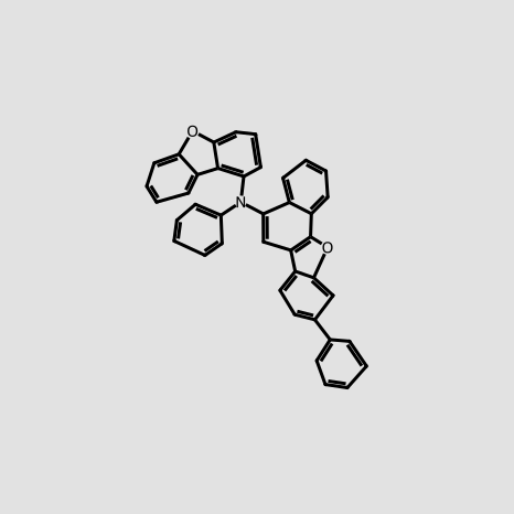 c1ccc(-c2ccc3c(c2)oc2c4ccccc4c(N(c4ccccc4)c4cccc5oc6ccccc6c45)cc32)cc1